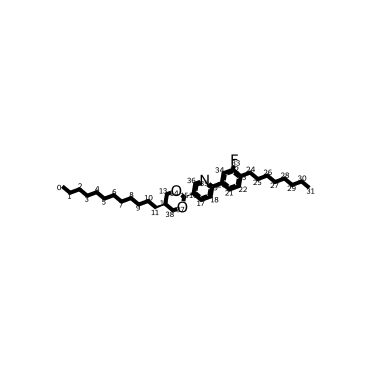 CCCCCCCCCCCC[C@H]1CO[C@H](c2ccc(-c3ccc(CCCCCCCC)c(F)c3)nc2)OC1